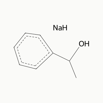 CC(O)c1ccccc1.[NaH]